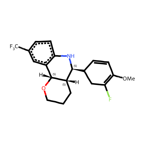 COC1=C(F)CC([C@@H]2Nc3ccc(C(F)(F)F)cc3[C@H]3OCCC[C@H]32)C=C1